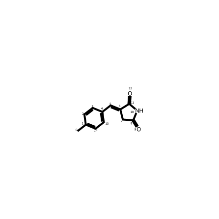 Cc1ccc(/C=C2\CC(=O)NC2=O)cc1